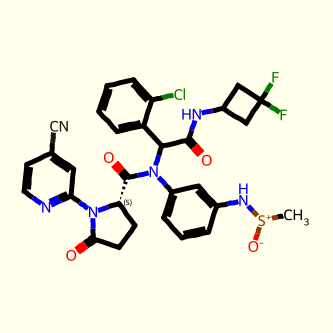 C[S+]([O-])Nc1cccc(N(C(=O)[C@@H]2CCC(=O)N2c2cc(C#N)ccn2)C(C(=O)NC2CC(F)(F)C2)c2ccccc2Cl)c1